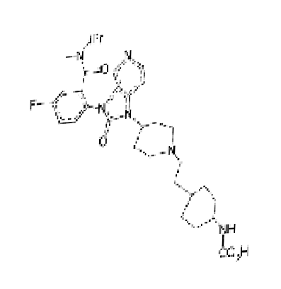 CC(C)N(C)C(=O)c1cc(F)ccc1-n1c(=O)n(C2CCN(CCC3CCC(NC(=O)O)CC3)CC2)c2ccncc21